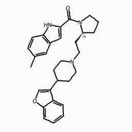 Cc1ccc2[nH]c(C(=O)N3CCC[C@H]3CCN3CCC(c4coc5ccccc45)CC3)cc2c1